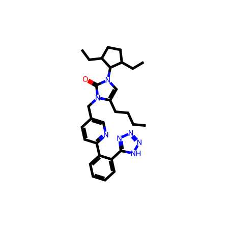 CCCCc1cn(C2C(CC)CCC2CC)c(=O)n1Cc1ccc(-c2ccccc2-c2nnn[nH]2)nc1